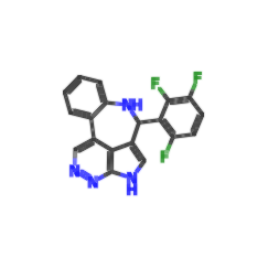 Fc1ccc(F)c(C2Nc3ccccc3-c3cnnc4[nH]cc2c34)c1F